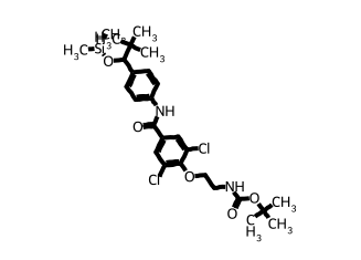 C[SiH](C)OC(c1ccc(NC(=O)c2cc(Cl)c(OCCNC(=O)OC(C)(C)C)c(Cl)c2)cc1)C(C)(C)C